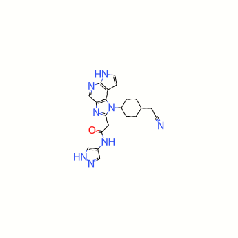 N#CCC1CCC(n2c(CC(=O)Nc3cn[nH]c3)nc3cnc4[nH]ccc4c32)CC1